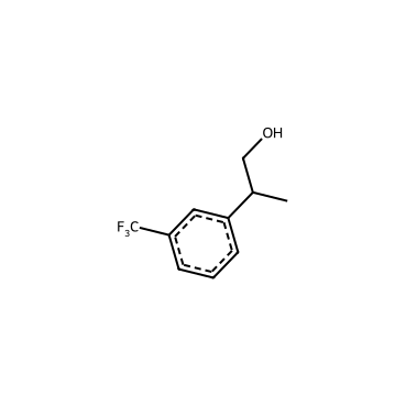 CC(CO)c1cccc(C(F)(F)F)c1